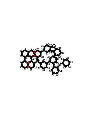 c1ccc(-c2cccc3cccc(-c4ccccc4N(c4cccc(-c5ccc6oc7ccccc7c6c5)c4)c4cccc(-c5cccc6c5c5ccccc5n6-c5ccccc5)c4)c23)cc1